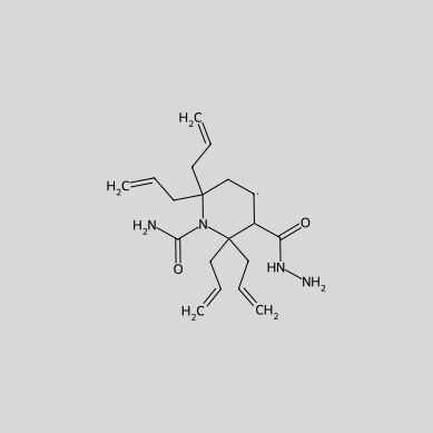 C=CCC1(CC=C)C[CH]C(C(=O)NN)C(CC=C)(CC=C)N1C(N)=O